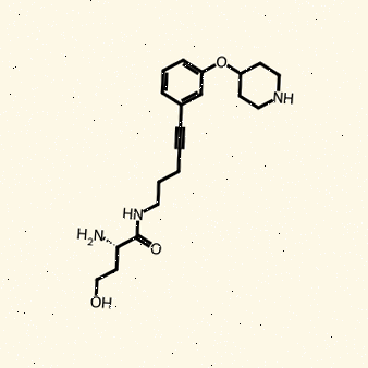 N[C@@H](CCO)C(=O)NCCCC#Cc1cccc(OC2CCNCC2)c1